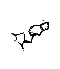 O=C1NC(=S)/C(=C/c2ccc3[nH]ccc3c2)S1